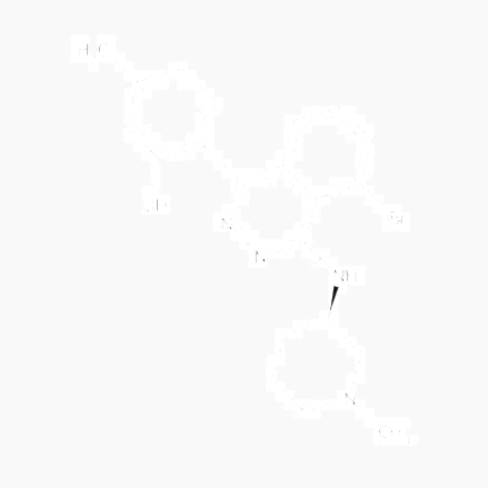 Cc1ccc(-c2nnc(N[C@@H]3CCCN(C)C3)c3c(Br)cccc23)c(O)c1